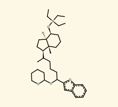 CC[Si](CC)(CC)O[C@H]1CCC[C@]2(C)[C@@H](C(C)CCCC(OC3CCCCO3)c3cc4ccccc4o3)CC[C@@H]12